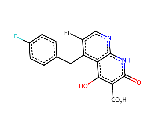 CCc1cnc2[nH]c(=O)c(C(=O)O)c(O)c2c1Cc1ccc(F)cc1